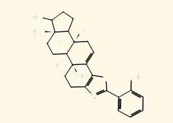 Cc1ccccc1-c1nc2c(s1)C1=CC[C@@H]3[C@H](CC[C@]4(C)C(O)CC[C@@H]34)[C@@]1(C)CC2